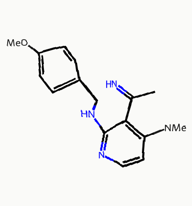 CNc1ccnc(NCc2ccc(OC)cc2)c1C(C)=N